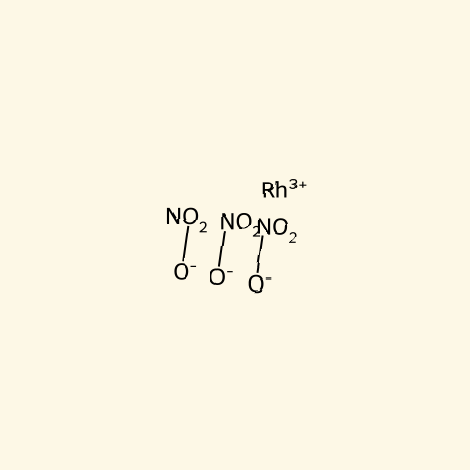 O=[N+]([O-])[O-].O=[N+]([O-])[O-].O=[N+]([O-])[O-].[Rh+3]